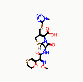 CON=C(C(=O)NC1C(=O)N2C(C(=O)O)=C(CSc3nnnn3C)CS[C@@H]12)C1=CSCCO1